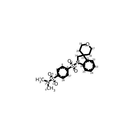 CN(C)S(=O)(=O)c1ccc(S(=O)(=O)N2CC3(CCOCC3)c3ccccc32)cc1